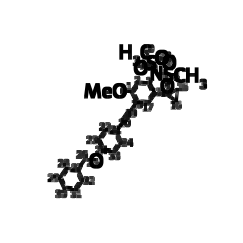 COc1cc(N(S(C)(=O)=O)S(C)(=O)=O)c(C2CC2)cc1C#Cc1ccc(OCc2ccccc2)cc1